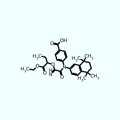 CCOC(=O)C(CC)OC(=N)C(=O)N(c1ccc(C(=O)O)cc1)c1ccc2c(c1)C(C)(C)CCC2(C)C